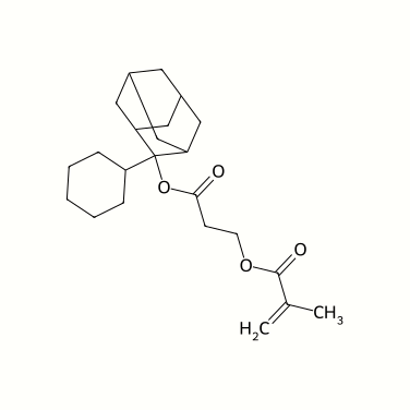 C=C(C)C(=O)OCCC(=O)OC1(C2CCCCC2)C2CC3CC(C2)CC1C3